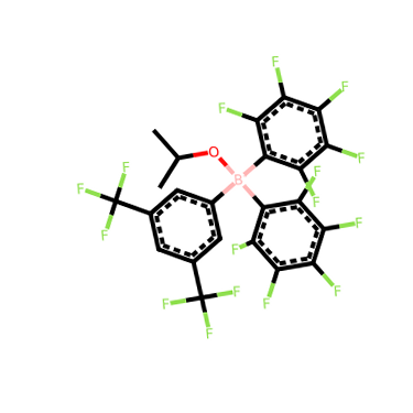 CC(C)O[B-](c1cc(C(F)(F)F)cc(C(F)(F)F)c1)(c1c(F)c(F)c(F)c(F)c1F)c1c(F)c(F)c(F)c(F)c1F